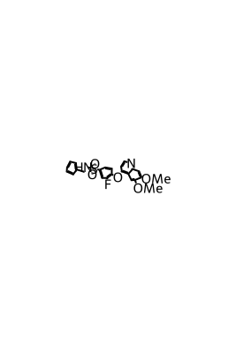 COc1cc2nccc(Oc3ccc(S(=O)(=O)NCc4ccccc4)cc3F)c2cc1OC